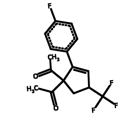 CC(=O)C1(C(C)=O)CC(C(F)(F)F)C=C1c1ccc(F)cc1